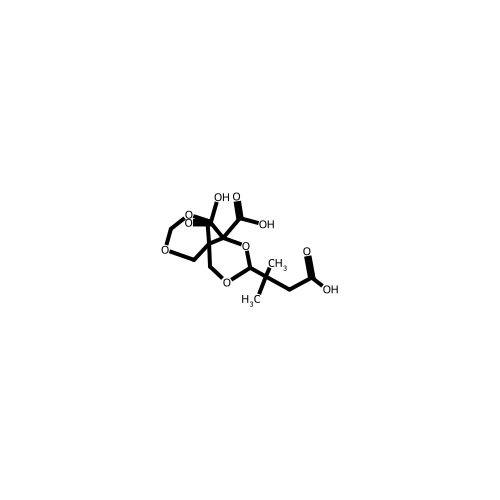 CC(C)(CC(=O)O)C1OCC2(COCOC2)C(C(=O)O)(C(=O)O)O1